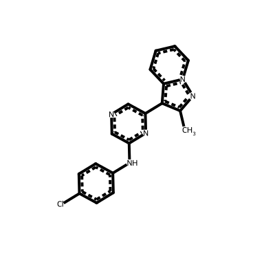 Cc1nn2ccccc2c1-c1cncc(Nc2ccc(Cl)cc2)n1